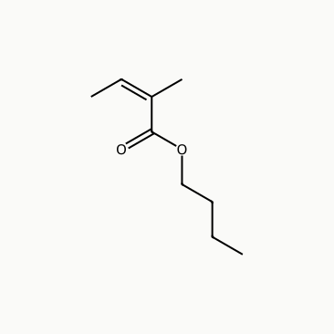 CC=C(C)C(=O)OCCCC